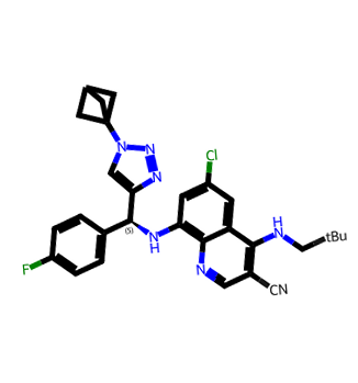 CC(C)(C)CNc1c(C#N)cnc2c(N[C@@H](c3ccc(F)cc3)c3cn(C45CC(C4)C5)nn3)cc(Cl)cc12